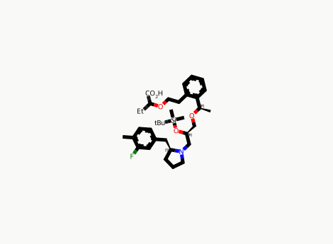 CCC(OCCc1ccccc1[C@@H](C)OC[C@@H](CN1CCC[C@H]1Cc1ccc(C)c(F)c1)O[Si](C)(C)C(C)(C)C)C(=O)O